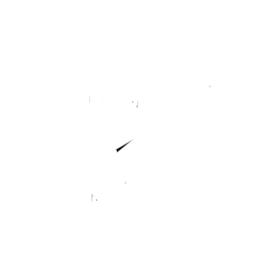 CN1CCCCCC[C@H]1c1cccnc1